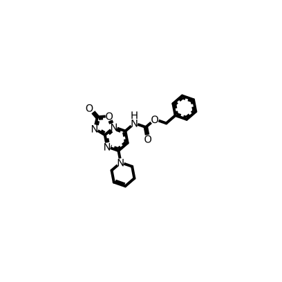 O=C(Nc1cc(N2CC=CCC2)nc2nc(=O)on12)OCc1ccccc1